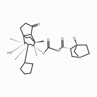 C[C@@H]1CCC23CCC(=O)C2[C@]1(C)[C@H](OC(=O)NC(=O)[C@H]1CN2CC[C@@H]1C2)C[C@@](C)(C1CCCC1)[C@@H](O)[C@@H]3C